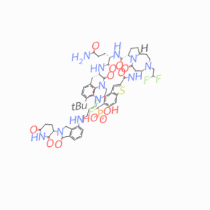 CC(C)(C)c1ccc(C[C@H](NC(=O)[C@H](CCC(N)=O)NC(=O)[C@@H]2CC[C@@H]3CCN(CC(F)F)C[C@H](NC(=O)c4cc5cc(C(F)(F)P(=O)(O)O)ccc5s4)C(=O)N32)C(=O)N2CCN(CCCNc3cccc4c3CN(C3CCC(=O)NC3=O)C4=O)CC2)cc1